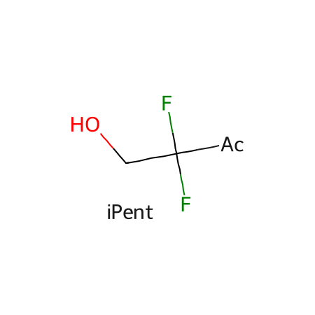 CCC[C@H](C)C(O)C(F)(F)C(C)=O